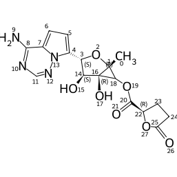 C[C@]12O[C@@H](c3ccc4c(N)ncnn34)[C@H](O)[C@@]1(O)C2OC(=O)[C@H]1CCC(=O)O1